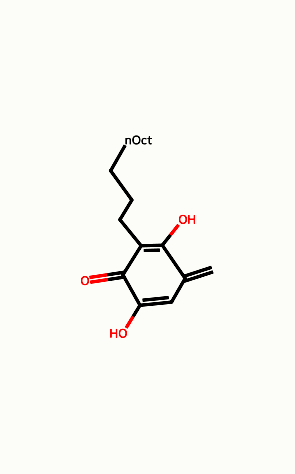 C=C1C=C(O)C(=O)C(CCCCCCCCCCC)=C1O